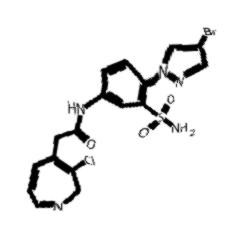 NS(=O)(=O)c1cc(NC(=O)CC2=C(Cl)CN=CC=C2)ccc1-n1cc(Br)cn1